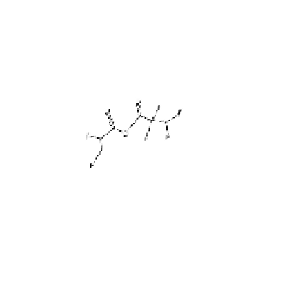 O=C(OC(=O)C(F)(F)C(F)F)C(F)CF